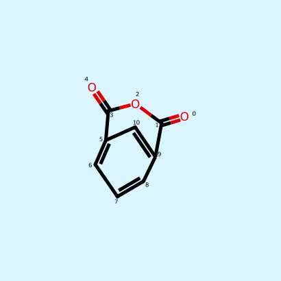 O=C1OC(=O)c2cccc1c2